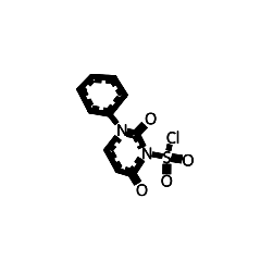 O=c1ccn(-c2ccccc2)c(=O)n1S(=O)(=O)Cl